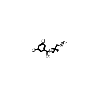 CCCOCC1(F)CN(C(CC)c2cc(Cl)cc(Cl)c2)C1